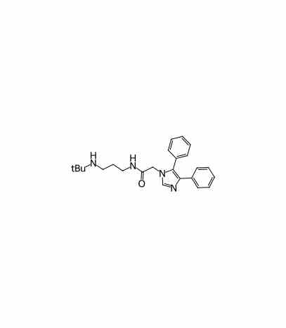 CC(C)(C)NCCCNC(=O)Cn1cnc(-c2ccccc2)c1-c1ccccc1